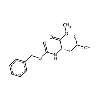 COC(=O)[C@H](CC(O)Cl)NC(=O)OCc1ccccc1